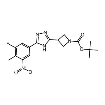 Cc1c(F)cc(-c2nnc(C3CN(C(=O)OC(C)(C)C)C3)[nH]2)cc1[N+](=O)[O-]